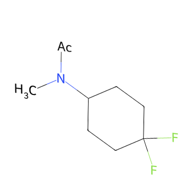 CC(=O)N(C)C1CCC(F)(F)CC1